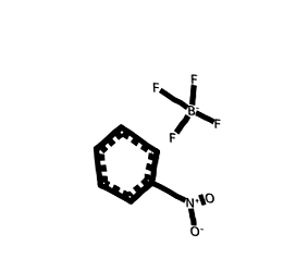 F[B-](F)(F)F.O=[N+]([O-])c1ccccc1